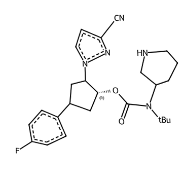 CC(C)(C)N(C(=O)O[C@@H]1CC(c2ccc(F)cc2)CC1n1ccc(C#N)n1)C1CCCNC1